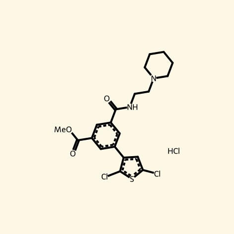 COC(=O)c1cc(C(=O)NCCN2CCCCC2)cc(-c2cc(Cl)sc2Cl)c1.Cl